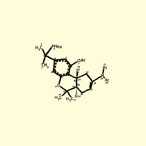 CCCCCCC(C)(C)c1cc(OC(C)=O)c2c(c1)OC(C)(C)[C@@H]1CC=C(N(C(C)=O)C(C)=O)C[C@@H]21